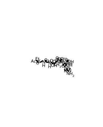 CCC(C(C)=O)C(=O)SCCNC(=O)CCNC(=O)[C@H](O)C(C)(C)COP(=O)(O)OP(=O)(O)OC[C@H]1O[C@@H](n2cnc3c(N)ncnc32)[C@H](O)[C@@H]1OP(=O)(O)O